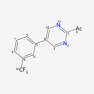 CC(=O)c1ncc(-c2cccc(C(F)(F)F)c2)cn1